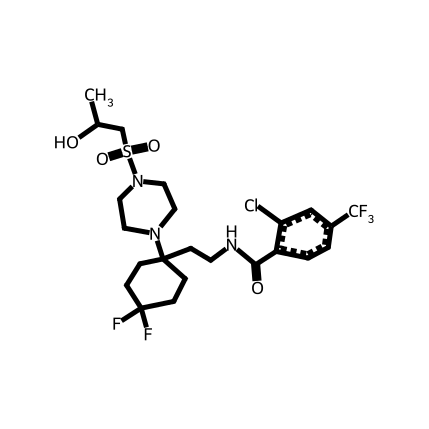 CC(O)CS(=O)(=O)N1CCN(C2(CCNC(=O)c3ccc(C(F)(F)F)cc3Cl)CCC(F)(F)CC2)CC1